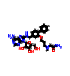 CN(CCCOc1cc(CNc2nc3c(N)ncnc3n2[C@@H]2O[C@H](CO)[C@@H](O)[C@H]2O)ccc1-c1ccccc1)CC(N)=O